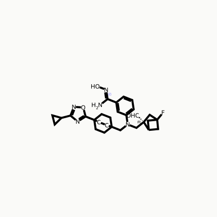 N/C(=N\O)c1cccc(N(CC23CCC(c4nc(C5CC5)no4)(CC2)CC3)C[C@@]2(C=O)CC3(F)CC2C3)c1